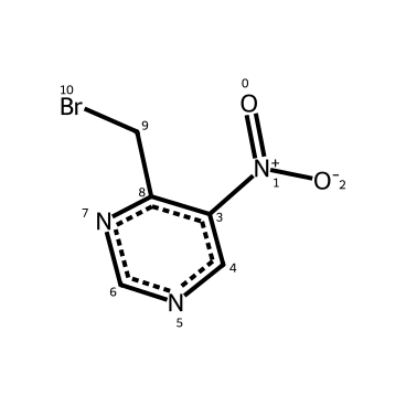 O=[N+]([O-])c1cncnc1CBr